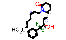 O=C(O)CCC/C=C\CN1C(=O)CCC[C@@H]1/C=C/[C@@H](O)C(F)(F)c1ccccc1